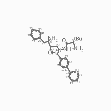 CC(C)(C)C(N)C(=O)NN(Cc1ccc(-c2ccccn2)cc1)CC(O)C(N)Cc1ccccc1